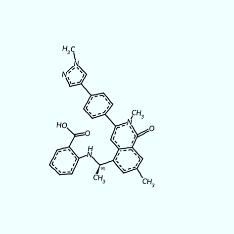 Cc1cc([C@@H](C)Nc2ccccc2C(=O)O)c2cc(-c3ccc(-c4cnn(C)c4)cc3)n(C)c(=O)c2c1